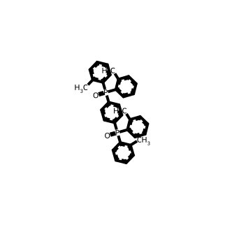 Cc1ccccc1P(=O)(c1ccc(P(=O)(c2ccccc2C)c2ccccc2C)cc1)c1ccccc1C